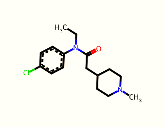 CCN(C(=O)CC1CCN(C)CC1)c1ccc(Cl)cc1